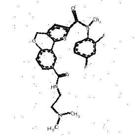 CN(C)CCNC(=O)c1ccc2c(c1)-c1sc(C(=O)N(C)c3ccc(F)cc3F)cc1CO2